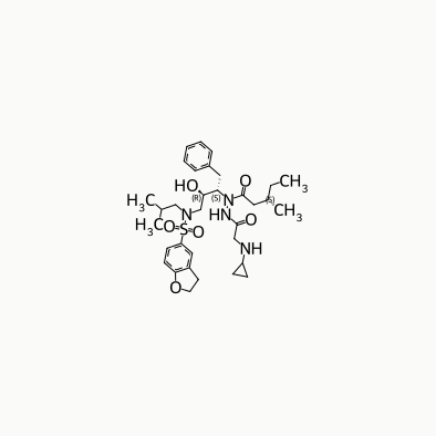 CC[C@H](C)CC(=O)N(NC(=O)CNC1CC1)[C@@H](Cc1ccccc1)[C@H](O)CN(CC(C)C)S(=O)(=O)c1ccc2c(c1)CCO2